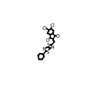 O=C1C(=Cc2nc3sc(-c4ccccc4)nc3s2)C(=O)c2cc(Cl)c(Cl)cc21